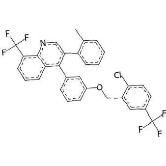 Cc1ccccc1-c1cnc2c(C(F)(F)F)cccc2c1-c1cccc(OCc2cc(C(F)(F)F)ccc2Cl)c1